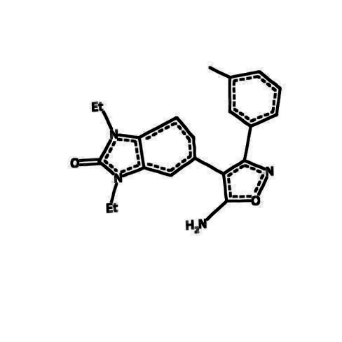 CCn1c(=O)n(CC)c2cc(-c3c(-c4cccc(C)c4)noc3N)ccc21